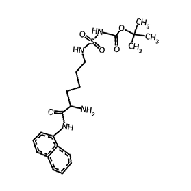 CC(C)(C)OC(=O)NS(=O)(=O)NCCCCC(N)C(=O)Nc1cccc2ccccc12